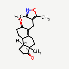 Cc1noc(C)c1CC1=C2CC[C@]3(C)C(=O)CC[C@H]3C2CCC1=O